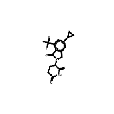 O=C1CCC(N2Cc3cc(C4CC4)cc(C(F)(F)F)c3C2=O)C(=O)N1